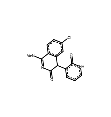 CNC1=NC(=O)C(c2ccc[nH]c2=O)c2cc(Cl)ccc21